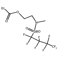 CCC(=O)OCCN(C)S(=O)(=O)C(F)(F)C(F)(F)C(F)(F)C(F)(F)F